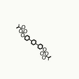 C=C(C)C(=O)OC(=O)Oc1ccc(-c2ccc(-c3ccc(OC(=O)OC(=O)C(=C)C)cc3)cc2)cc1